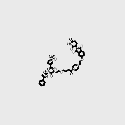 CS(=O)(=O)n1ccc(C(=O)N[C@@H](CCOCCCC(=O)N2CCN(CCOc3ccc4c(c3)C(=O)N(C3CCC(=O)NC3=O)C4=O)CC2)C(=O)Nc2nc(-c3ccccc3)cs2)c1